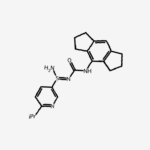 CC(C)c1ccc(/S(N)=N/C(=O)Nc2c3c(cc4c2CCC4)CCC3)cn1